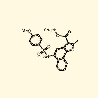 CCCCCCCOC(=O)c1c(C)oc2c1cc(NS(=O)(=O)c1ccc(OC)cc1)c1ccccc12